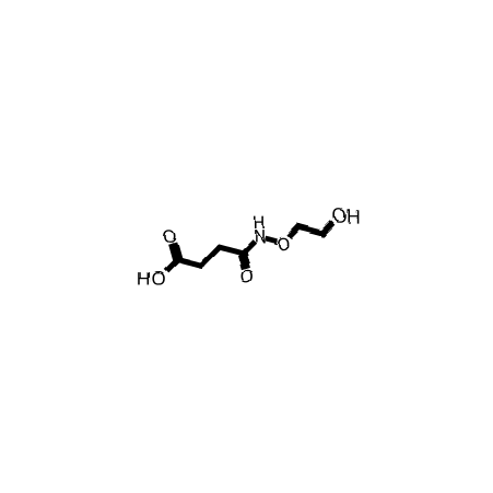 O=C(O)CCC(=O)NOCCO